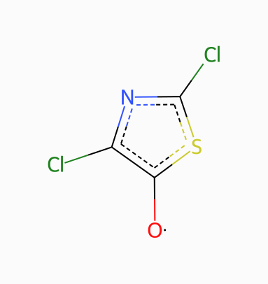 [O]c1sc(Cl)nc1Cl